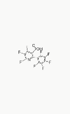 O=C(O)c1c(-c2c(F)c(F)c(F)c(F)c2F)nc(F)c(F)c1F